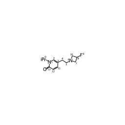 CC(C)n1cc(CCN2CC(F)C2)ccc1=O